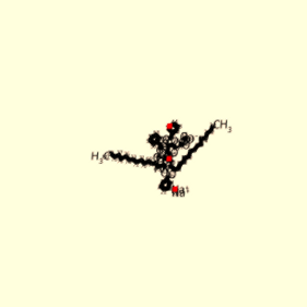 CCCCCCCCCCCCC/C=C/[C@@H](OC(=O)c1ccccc1)[C@H](CO[C@H]1O[C@H](COS(=O)(=O)[O-])[C@@H](OC(=O)c2ccccc2)[C@H](OC(=O)c2ccccc2)[C@@H]1OS(=O)(=O)[O-])NC(=O)CCCCCCCCCCCCCCC.[Na+].[Na+]